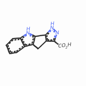 O=C(O)c1n[nH]c2c1Cc1c-2[nH]c2ccccc12